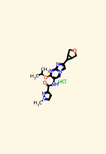 CC(C)Oc1nc2nc(C3C4COCC43)cn2cc1NC(=O)c1ccn(C)n1.Cl